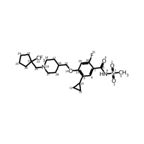 CS(=O)(=O)NC(=O)c1cc(C2CC2)c(OCC2CCN(CC3(C(F)(F)F)CCCC3)CC2)cc1F